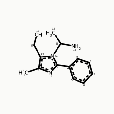 Cc1nc(-c2ccccc2)n(C(C)N)c1CO